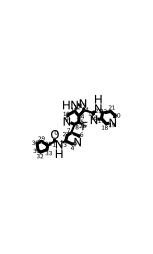 O=C(Nc1cncc(-c2ncc3[nH]nc(-c4nc5cnccc5[nH]4)c3c2F)c1)c1ccccc1